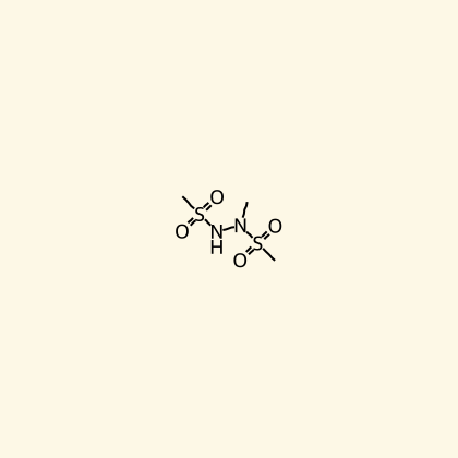 CN(NS(C)(=O)=O)S(C)(=O)=O